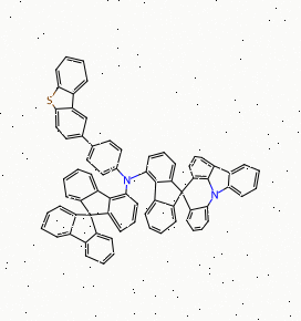 c1ccc2c(c1)-c1ccccc1C21c2ccccc2-c2c(N(c3ccc(-c4ccc5sc6ccccc6c5c4)cc3)c3cccc4c3-c3ccccc3C43c4ccccc4-n4c5ccccc5c5cccc3c54)cccc21